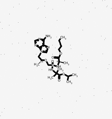 CCCCOC(=O)[C@@H](C)NP(=O)(CO[C@H](C)Cn1cnc2c(N)ncnc21)NC(C)(C)C(=O)OC(C)C